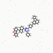 c1ccc(-c2nc(-c3ccc(-c4cc5c6c(cccc6c4)-c4ccccc4-5)cc3)nc(-c3cccc4c(-c5cccc6oc7ccccc7c56)cccc34)n2)cc1